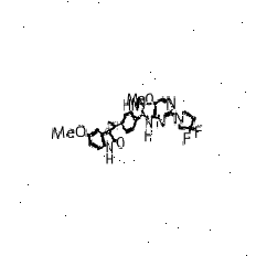 COc1ccc2c(c1)[C@]1(C[C@H]1c1ccc3c(Nc4nc(N5CCC(F)(F)C5)ncc4OC)n[nH]c3c1)C(=O)N2